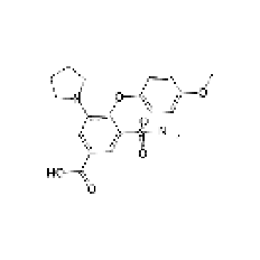 COc1ccc(Oc2c(N3CCCC3)cc(C(=O)O)cc2S(N)(=O)=O)cc1